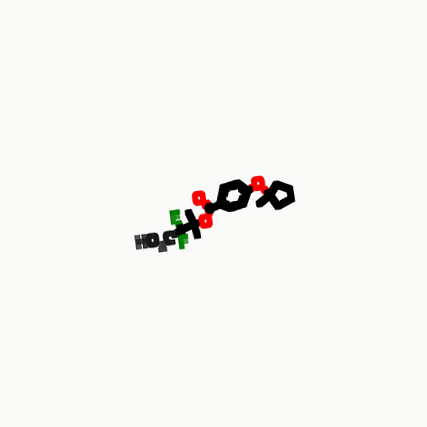 CC1(Oc2ccc(C(=O)OC(C)(C)C(F)(F)C(=O)O)cc2)CCCC1